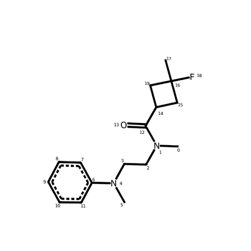 CN(CCN(C)c1ccccc1)C(=O)C1CC(C)(F)C1